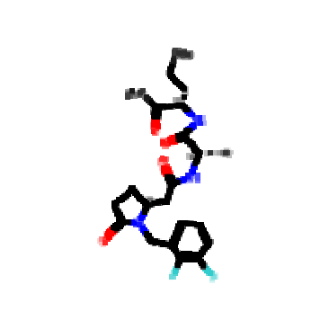 COC(=O)[C@H](CCSC)NC(=O)[C@@H](NC(=O)C[C@@H]1CCC(=O)N1Cc1cccc(F)c1F)C(C)C